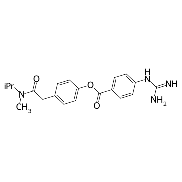 CC(C)N(C)C(=O)Cc1ccc(OC(=O)c2ccc(NC(=N)N)cc2)cc1